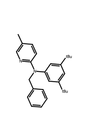 Cc1ccc(N(Cc2ccccc2)c2cc(C(C)(C)C)cc(C(C)(C)C)c2)nc1